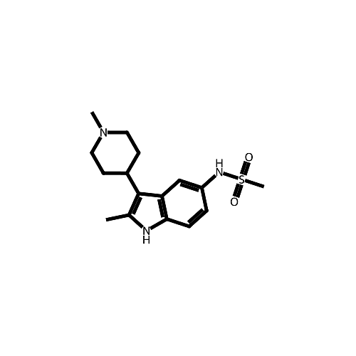 Cc1[nH]c2ccc(NS(C)(=O)=O)cc2c1C1CCN(C)CC1